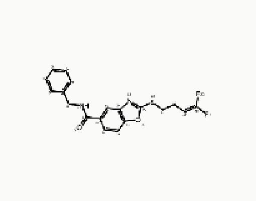 O=C(NCc1ccccc1)c1ccc2oc(SCCC=C(F)F)nc2c1